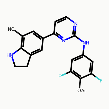 CC(=O)Oc1c(F)cc(Nc2nccc(-c3cc(C#N)c4c(c3)CCN4)n2)cc1F